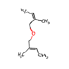 CC=C(C)COCC(C)=CC